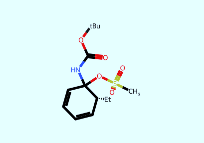 CC[C@@H]1C=CC=CC1(NC(=O)OC(C)(C)C)OS(C)(=O)=O